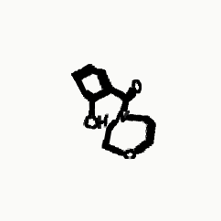 O=C(c1ccccc1O)N1CCOCC1